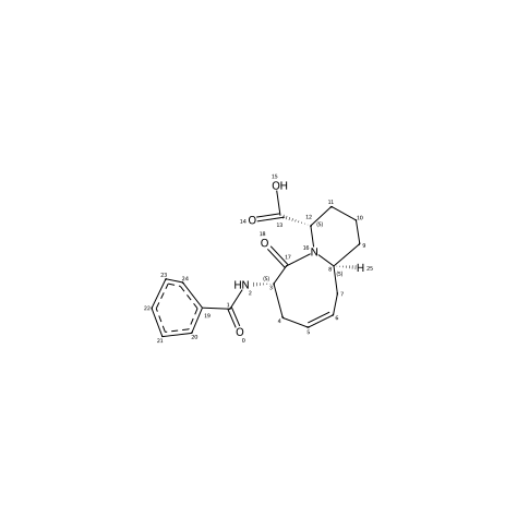 O=C(N[C@H]1CC=CC[C@@H]2CCC[C@@H](C(=O)O)N2C1=O)c1ccccc1